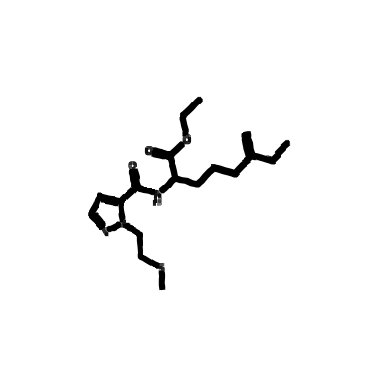 C=C(CC)CCCC(NC(=O)c1ccnn1CCSC)C(=O)OCC